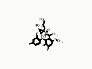 COc1cc(F)c(F)c(Nc2ccc(I)cc2F)c1C(C)S(=O)(=O)C1(C[C@H](O)CO)CC1